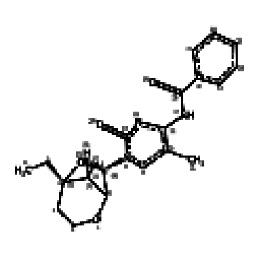 CC[C@@]12CCOC([C@H](n3cc(C)c(NC(=O)c4ccccc4)nc3=O)O1)[C@H]2O